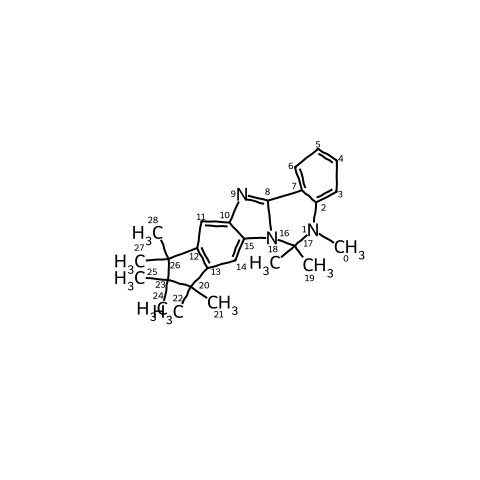 CN1c2ccccc2-c2nc3cc4c(cc3n2C1(C)C)C(C)(C)C(C)(C)C4(C)C